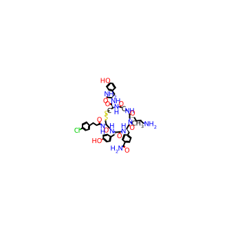 CN1C(=O)[C@@H](Cc2ccc(C(N)=O)cc2)NC(=O)[C@H](Cc2ccc(O)cc2)NC(=O)[C@H](NC(=O)CCc2ccc(Cl)cc2)CSSC[C@@H](C(=O)N[C@H](Cc2ccc(O)cc2)C(N)=O)NC(=O)CNC(=O)[C@@H]1CCCCN